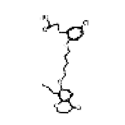 CCCc1c(OCCCCCOc2ccc(Cl)cc2CCC(=O)O)ccc2c1OCCC2=O